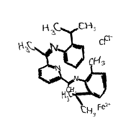 CC(=Nc1ccccc1C(C)C)c1cccc(C(C)=Nc2c(C)cccc2C(C)C)n1.[Cl-].[Cl-].[Fe+2]